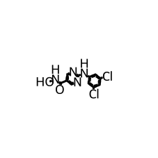 O=C(NO)c1cnc(Nc2cc(Cl)cc(Cl)c2)nc1